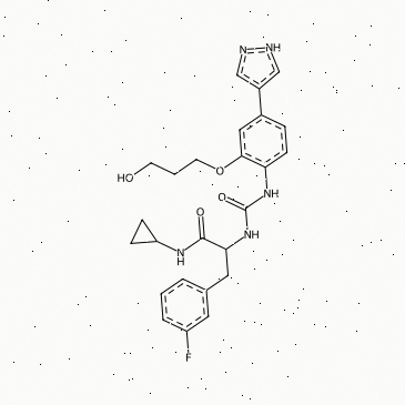 O=C(Nc1ccc(-c2cn[nH]c2)cc1OCCCO)NC(Cc1cccc(F)c1)C(=O)NC1CC1